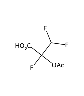 CC(=O)OC(F)(C(=O)O)C(F)F